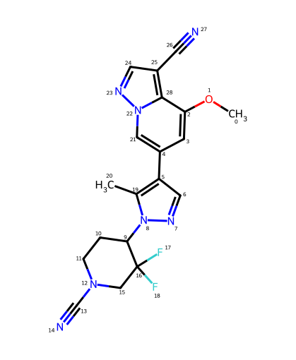 COc1cc(-c2cnn(C3CCN(C#N)CC3(F)F)c2C)cn2ncc(C#N)c12